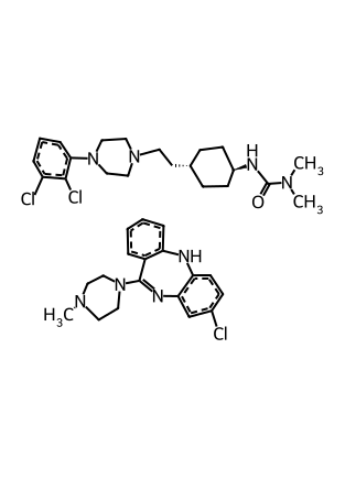 CN(C)C(=O)N[C@H]1CC[C@H](CCN2CCN(c3cccc(Cl)c3Cl)CC2)CC1.CN1CCN(C2=Nc3cc(Cl)ccc3Nc3ccccc32)CC1